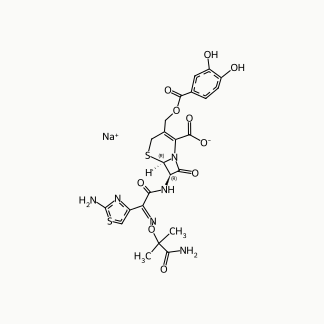 CC(C)(ON=C(C(=O)N[C@@H]1C(=O)N2C(C(=O)[O-])=C(COC(=O)c3ccc(O)c(O)c3)CS[C@H]12)c1csc(N)n1)C(N)=O.[Na+]